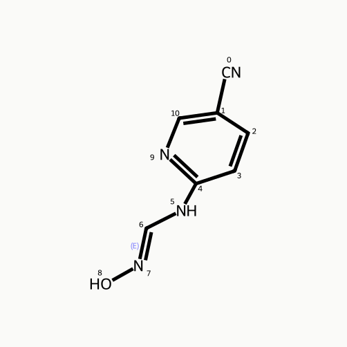 N#Cc1ccc(N/C=N/O)nc1